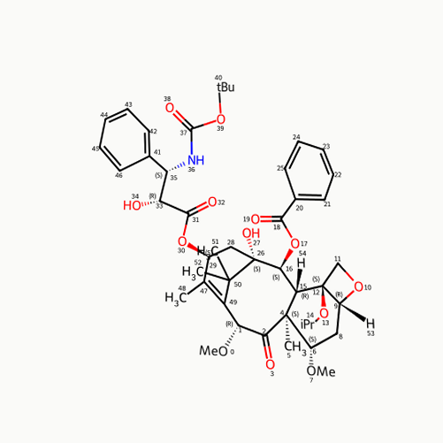 CO[C@H]1C(=O)[C@]2(C)[C@@H](OC)C[C@H]3OC[C@@]3(OC(C)C)[C@H]2[C@H](OC(=O)c2ccccc2)[C@]2(O)C[C@H](OC(=O)[C@H](O)[C@@H](NC(=O)OC(C)(C)C)c3ccccc3)C(C)=C1C2(C)C